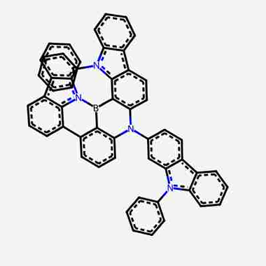 c1ccc(-n2c3ccccc3c3ccc(N4c5cccc6c5B(c5c4ccc4c7ccccc7n(-c7ccccc7)c54)n4c5ccccc5c5cccc-6c54)cc32)cc1